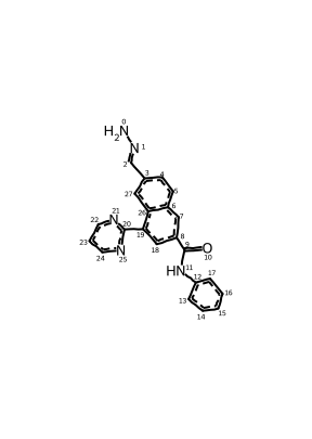 NN=Cc1ccc2cc(C(=O)Nc3ccccc3)cc(-c3ncccn3)c2c1